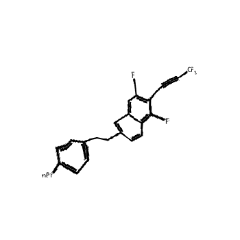 CCCc1ccc(CCc2ccc3c(F)c(C#CC(F)(F)F)c(F)cc3c2)cc1